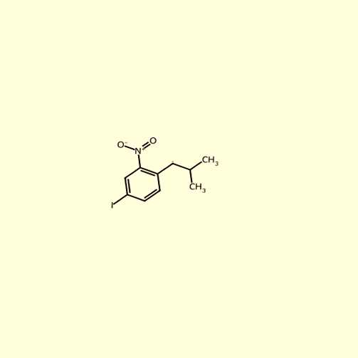 CC(C)[CH]c1ccc(I)cc1[N+](=O)[O-]